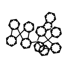 c1ccc(N(c2cccc3c2-c2ccccc2C32c3ccccc3-c3ccccc32)c2ccc3c(oc4ccccc43)c2C2(c3ccccc3)c3ccccc3-c3ccccc32)cc1